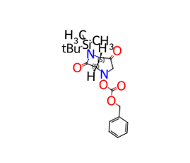 CC(C)(C)[Si](C)(C)N1C(=O)[C@@H]2[C@H]1C(=O)CN2OC(=O)OCc1ccccc1